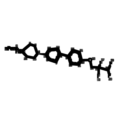 CCCCC[Si@H]1CC[C@H](c2ccc(-c3ccc(OCC(F)(F)C(F)F)cc3)cc2)CC1